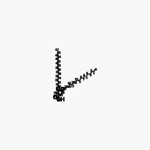 CCCCCCCCCCCCCCCCCCOc1ccc(C(=O)O)c(C)c1OCCCCCCCCCCCCCCCCCC